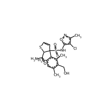 Cc1cc(C)c(C2(S(=O)(=O)Nc3onc(C)c3Cl)C=CSC2C(N)=O)c(C)c1CO